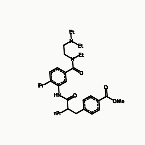 CCCC(Cc1ccc(C(=O)OC)cc1)C(=O)Nc1cc(C(=O)N(CC)CCN(CC)CC)ccc1C(C)C